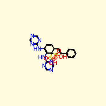 O=S(=O)(O)C1(S(=O)(=O)O)C(Nc2ncncn2)=C(Nc2ncncn2)C=CC1C=Cc1ccccc1